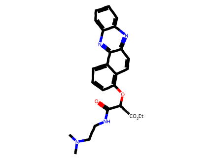 CCOC(=O)C(Oc1cccc2c1ccc1nc3ccccc3nc12)C(=O)NCCN(C)C